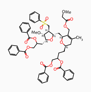 COCC(=O)OCC1=C(C)C[C@@H](CCC(COC(=O)c2ccccc2)OC(=O)c2ccccc2)O[C@H]1C[C@@H]1O[C@H](CC(COC(=O)c2ccccc2)OC(=O)c2ccccc2)[C@H](OC)[C@H]1CS(=O)(=O)c1ccccc1